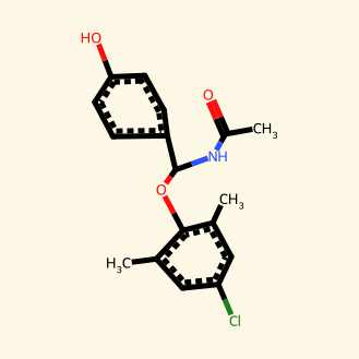 CC(=O)NC(Oc1c(C)cc(Cl)cc1C)c1ccc(O)cc1